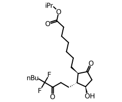 CCCCC(F)(F)C(=O)CC[C@H]1[C@H](O)CC(=O)[C@@H]1CCCCCCC(=O)OC(C)C